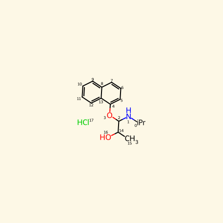 CC(C)NC(Oc1cccc2ccccc12)C(C)O.Cl